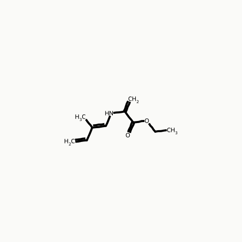 C=C/C(C)=C/NC(=C)C(=O)OCC